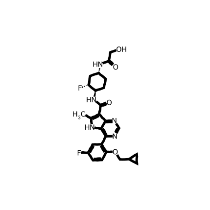 Cc1[nH]c2c(-c3cc(F)ccc3OCC3CC3)ncnc2c1C(=O)N[C@@H]1CC[C@@H](NC(=O)CO)C[C@H]1F